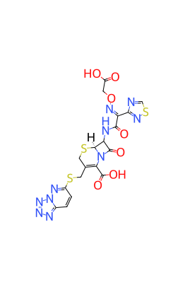 O=C(O)CON=C(C(=O)NC1C(=O)N2C(C(=O)O)=C(CSc3ccc4nnnn4n3)CS[C@@H]12)c1ncsn1